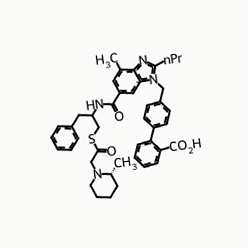 CCCc1nc2c(C)cc(C(=O)NC(CSC(=O)CN3CCCC[C@H]3C)Cc3ccccc3)cc2n1Cc1ccc(-c2ccccc2C(=O)O)cc1